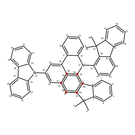 CC1(C)c2ccccc2-c2c(N(c3ccccc3-c3cc(-n4c5ccccc5c5ccccc54)cc4ccccc34)c3cccc4c3C(C)(C)c3ccccc3-4)cccc21